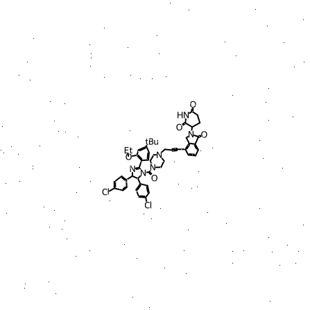 CCOc1cc(C(C)(C)C)ccc1C1=NC(c2ccc(Cl)cc2)C(c2ccc(Cl)cc2)N1C(=O)N1CCN(CC#Cc2cccc3c2CN(C2CCC(=O)NC2=O)C3=O)CC1